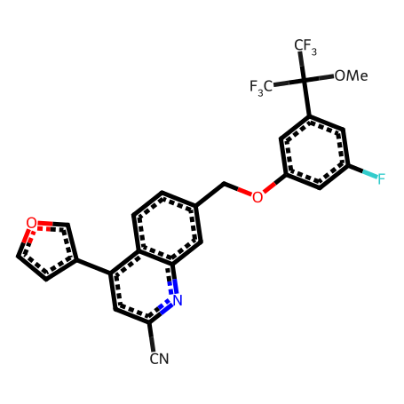 COC(c1cc(F)cc(OCc2ccc3c(-c4ccoc4)cc(C#N)nc3c2)c1)(C(F)(F)F)C(F)(F)F